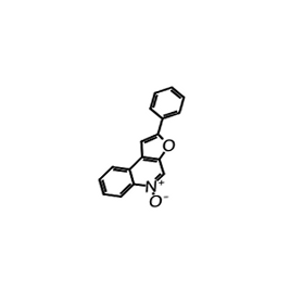 [O-][n+]1cc2oc(-c3ccccc3)cc2c2ccccc21